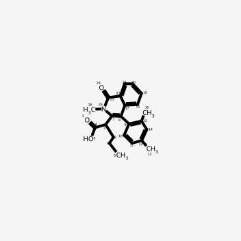 CCCC(C(=O)O)c1c(-c2ccc(C)cc2C)c2ccccc2c(=O)n1C